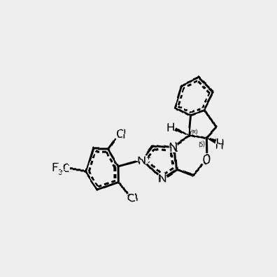 FC(F)(F)c1cc(Cl)c(-[n+]2cn3c(n2)CO[C@H]2Cc4ccccc4[C@H]23)c(Cl)c1